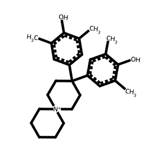 Cc1cc(C2(c3cc(C)c(O)c(C)c3)CC[N+]3(CCCCC3)CC2)cc(C)c1O